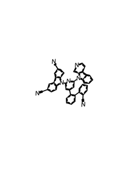 N#Cc1ccc2c(c1)c1cc(C#N)ccc1n2-c1cc(-c2ccccc2-c2ccccc2C#N)cc(-n2c3ccccc3c3ccncc32)n1